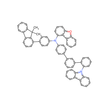 CC1(C)c2ccccc2-c2cccc(-c3ccc(N(c4ccc(-c5cccc(-c6ccccc6-n6c7ccccc7c7ccccc76)c5)cc4)c4cccc5oc6ccccc6c45)cc3)c21